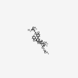 COCCOC(=O)C[C@H](NC(=O)c1ccc(-c2ccccc2C)c(-c2ccc(Cl)c(OCCCN(C)C)c2)n1)C(C)(C)C